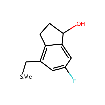 CSCc1cc(F)cc2c1CCC2O